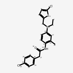 CCN(Cc1ccc(Cl)s1)c1ccc(NC(=O)Cc2ccc(Cl)cc2)c(C)c1